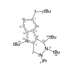 CC(C)N1Cc2c(c3cc(CC(C)(C)C)ccc3n2C(C)(C)C)C(C(C)(C)C)N1C(C)(C)C